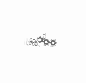 CC(C)(C)OC(=O)N1CCc2[nH]c3cc(-c4ccccc4)ccc3c2C1